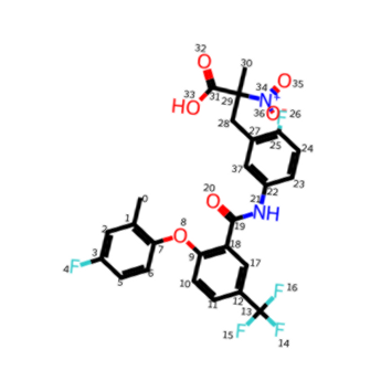 Cc1cc(F)ccc1Oc1ccc(C(F)(F)F)cc1C(=O)Nc1ccc(F)c(CC(C)(C(=O)O)[N+](=O)[O-])c1